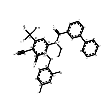 CCN(C(=O)c1cccc(-c2ccccc2)c1)c1cc(C(F)(F)F)c(C#N)c(=O)n1Cc1ccc(C)cc1C